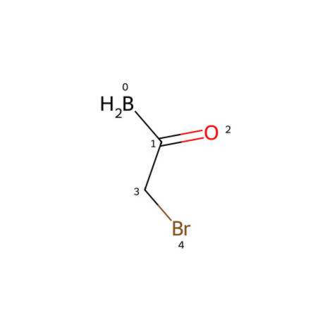 BC(=O)CBr